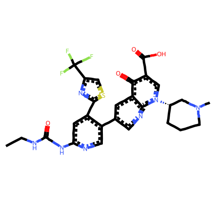 CCNC(=O)Nc1cc(-c2nc(C(F)(F)F)cs2)c(-c2cnc3c(c2)c(=O)c(C(=O)O)cn3[C@H]2CCCN(C)C2)cn1